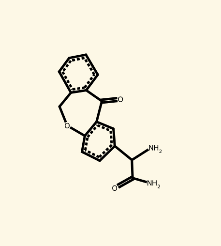 NC(=O)C(N)c1ccc2c(c1)C(=O)c1ccccc1CO2